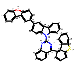 c1ccc2c(-c3cccc4sc5ccccc5c34)nc(-n3c4ccccc4c4cc(-c5ccc6oc7ccccc7c6c5)ccc43)nc2c1